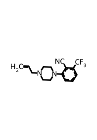 C=CCN1CCN(c2cccc(C(F)(F)F)c2C#N)CC1